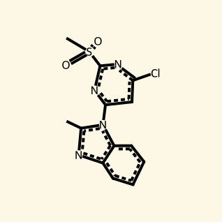 Cc1nc2ccccc2n1-c1cc(Cl)nc(S(C)(=O)=O)n1